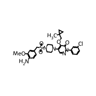 COc1cc(CS(=O)(=O)N2CCN(c3cnn(-c4cccc(Cl)c4)c(=O)c3OCC3(C)CC3)CC2)ccc1N